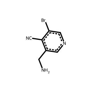 N#Cc1c(Br)cncc1CN